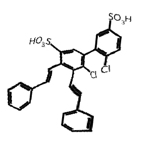 O=S(=O)(O)c1ccc(Cl)c(-c2cc(S(=O)(=O)O)c(C=Cc3ccccc3)c(C=Cc3ccccc3)c2Cl)c1